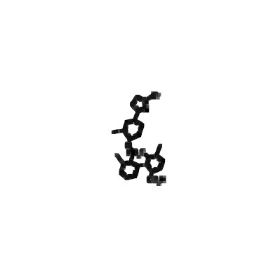 Cc1cc(-c2ccn(C(C)C)n2)ccc1OCc1c(C)cccc1-c1c(C(=O)O)ccc(C)c1C(=O)O